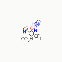 O=C(O)c1cc(-c2nccs2)c2oc(N3CC4CCC(C3)N4)nc2c1C(F)(F)F